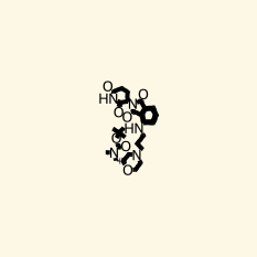 CN(C[C@@H]1CN(CCCNc2cccc3c2C(=O)N(C2CCC(=O)NC2=O)C3=O)CCO1)C(=O)OC(C)(C)C